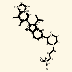 Cc1c(-c2[nH]c3ccc(C4CN(CCC[SH](=O)=O)CCO4)cc3c2C(C)C)cn2ncnc2c1C